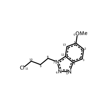 COc1ccc2nnn(CCCCl)c2c1